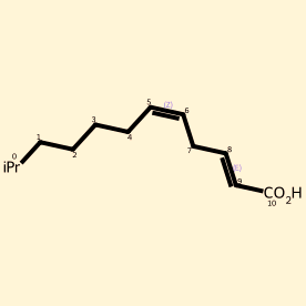 CC(C)CCCC/C=C\C/C=C/C(=O)O